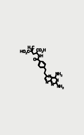 C=C(CC(NC(=O)c1ccc(CCc2cnc3nc(N)nc(N)c3n2)cc1)C(=O)O)C(=O)O